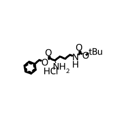 CC(C)(C)OC(=O)NCCC[C@H](N)C(=O)OCc1ccccc1.Cl